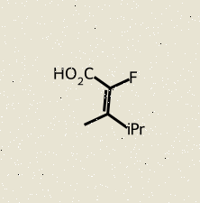 CC(=C(F)C(=O)O)C(C)C